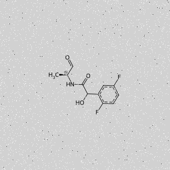 C[C@@H]([C]=O)NC(=O)C(O)c1cc(F)ccc1F